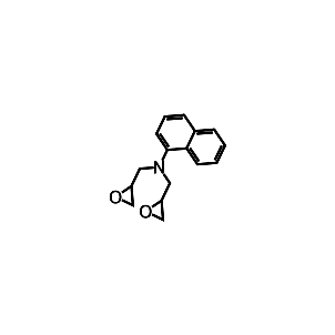 c1ccc2c(N(CC3CO3)CC3CO3)cccc2c1